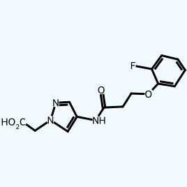 O=C(O)Cn1cc(NC(=O)CCOc2ccccc2F)cn1